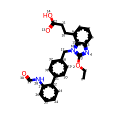 CCOc1nc2cccc(CCC(=O)O)c2n1Cc1ccc(-c2ccccc2NC=O)cc1